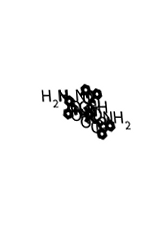 Nc1ccc2c(c1)-c1ccccc1P(=O)(CCn1c(=O)n(CCP3(=O)Oc4c(N)cccc4-c4ccccc43)c(=O)n(NCP3(=O)Oc4c(N)cccc4-c4ccccc43)c1=O)O2